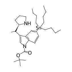 CCC[CH2][Sn]([CH2]CCC)([CH2]CCC)[c]1ccc2c(c1)c(C(C)[C@H]1CCCN1)cn2C(=O)OC(C)(C)C